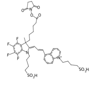 CC1(CCCCCC(=O)ON2C(=O)CCC2=O)C(=CC=Cc2cccc3c2ccc[n+]3CCCCS(=O)(=O)O)N(CCCCS(=O)(=O)O)c2c(F)c(F)c(F)c(F)c21